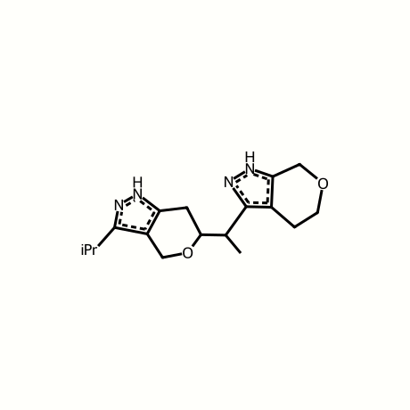 CC(C)c1n[nH]c2c1COC(C(C)c1n[nH]c3c1CCOC3)C2